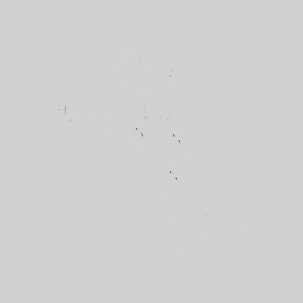 C=CCN(Cc1nccn1Cc1cccc(F)c1)C(=O)c1ccccc1F